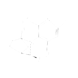 Cc1cc(C)c(N2[C@@H](C)C3CCC2(C)C3)c(C)n1